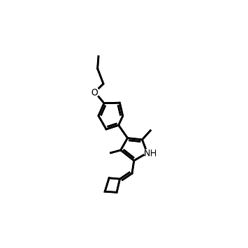 CCCOc1ccc(-c2c(C)[nH]c(C=C3CCC3)c2C)cc1